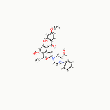 CCc1c(O)cc(O)c(C(=O)c2ccc(OC)cc2)c1CC(=O)N1CCN(c2ccccc2)C(C=O)C1